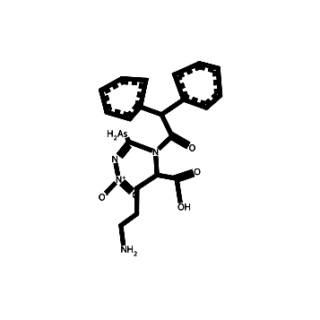 NCCCC(C(=O)O)N(C(=O)C(c1ccccc1)c1ccccc1)/C([AsH2])=N\[N+](=O)[O-]